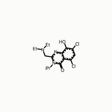 CCN(CC)Cc1nc2c(O)c(Cl)cc(Cl)c2c(=O)n1C(C)C